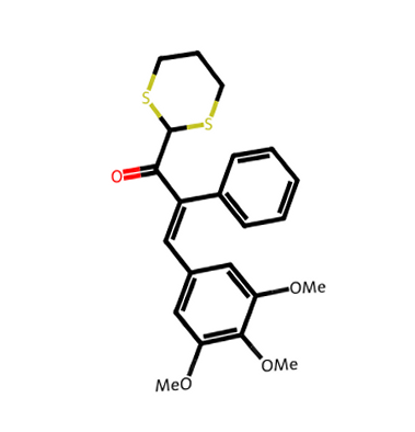 COc1cc(C=C(C(=O)C2SCCCS2)c2ccccc2)cc(OC)c1OC